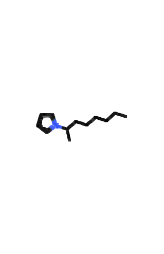 CCCCCCC(C)n1cccc1